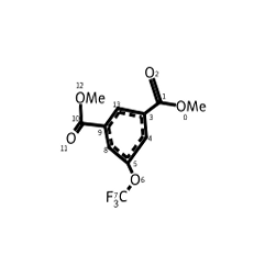 COC(=O)c1cc(OC(F)(F)F)cc(C(=O)OC)c1